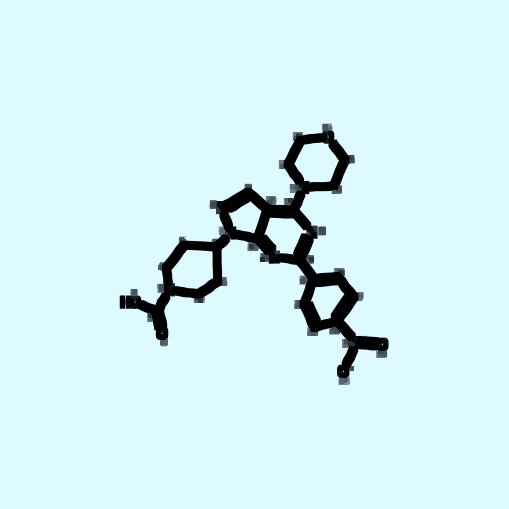 O=C(O)N1CCC(n2ncc3c(N4CCOCC4)nc(-c4ccc([N+](=O)[O-])cc4)nc32)CC1